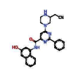 N#CCC1CN(c2cc(C(=O)Nc3cc(O)cc4ccccc34)nc(-c3ccccc3)n2)CCN1